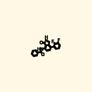 O=C(Nc1ccc(-c2cccc(F)c2F)c2c1C(=O)NC2)c1ccccc1